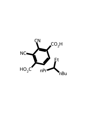 CCCCC(CC)CCC.N#Cc1c(C(=O)O)ccc(C(=O)O)c1C#N